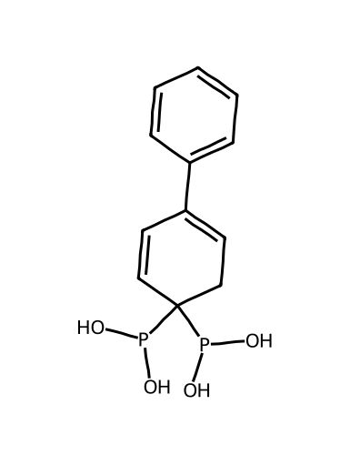 OP(O)C1(P(O)O)C=CC(c2ccccc2)=CC1